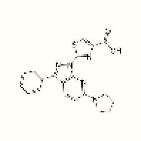 O=C(O)c1csc(-n2nc(-c3ccccc3)c3ccc(N4CCCC4)nc32)n1